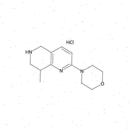 CC1CNCc2ccc(N3CCOCC3)nc21.Cl